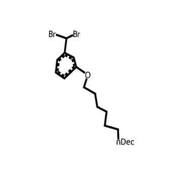 CCCCCCCCCCCCCCCCOc1cccc(C(Br)Br)c1